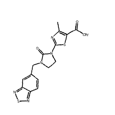 Cc1nc(N2CCN(Cc3ccc4nsnc4c3)C2=O)sc1C(=O)O